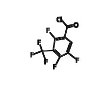 O=C(Cl)c1cc(F)c(F)c(C(F)(F)F)c1F